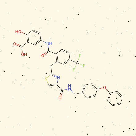 O=C(NCc1ccc(Oc2ccccc2)cc1)c1csc(Cc2cc(C(F)(F)F)ccc2C(=O)Nc2ccc(O)c(C(=O)O)c2)n1